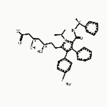 CC(C)n1c(CC[C@@H](O)C[C@@H](O)CC(=O)[O-])c(-c2ccc(F)cc2)c(-c2ccccc2)c1C(=O)N[C@@H](C)c1ccccc1.[Na+]